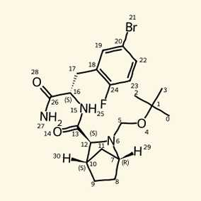 CC(C)(C)OCN1[C@@H]2CC[C@@H](C2)[C@H]1C(=O)N[C@@H](Cc1cc(Br)ccc1F)C(N)=O